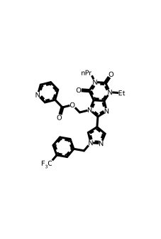 CCCn1c(=O)c2c(nc(-c3cnn(Cc4cccc(C(F)(F)F)c4)c3)n2COC(=O)c2cccnc2)n(CC)c1=O